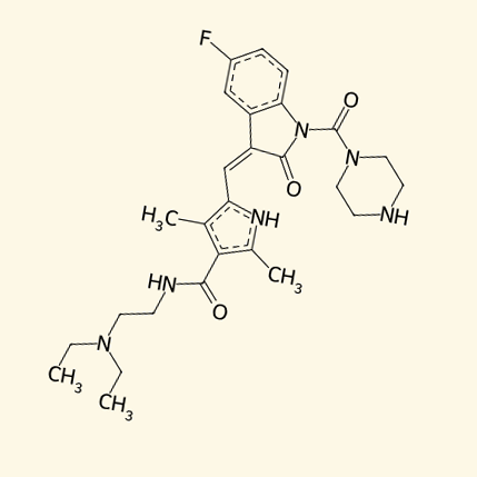 CCN(CC)CCNC(=O)c1c(C)[nH]c(C=C2C(=O)N(C(=O)N3CCNCC3)c3ccc(F)cc32)c1C